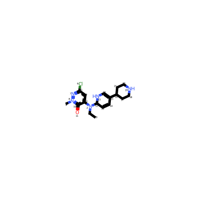 CCN(c1cc(Cl)nn(C)c1=O)C1C=CC(C2CCNCC2)=CN1